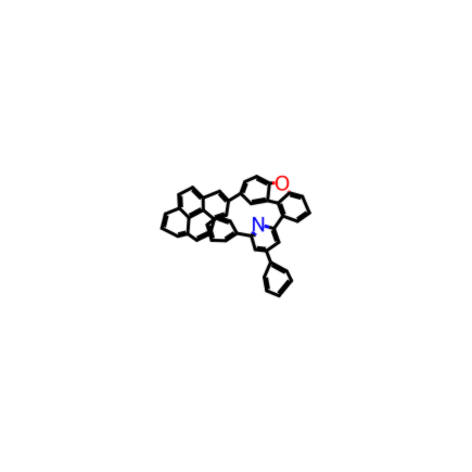 c1ccc(-c2cc(-c3ccccc3)nc(-c3cccc4oc5ccc(-c6cc7ccc8cccc9ccc(c6)c7c89)cc5c34)c2)cc1